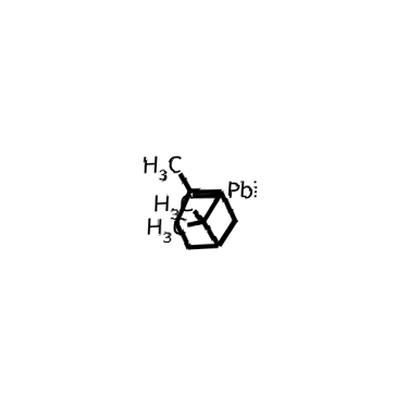 CC1=C2CC(CC1)C2(C)C.[Pb]